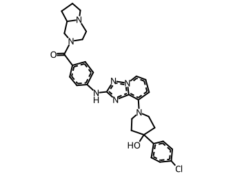 O=C(c1ccc(Nc2nc3c(N4CCC(O)(c5ccc(Cl)cc5)CC4)cccn3n2)cc1)N1CCN2CCCC2C1